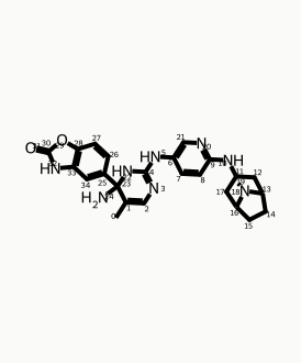 CC1=CN=C(Nc2ccc(NC3CC4CCC(C3)N4C)nc2)NC1(N)c1ccc2oc(=O)[nH]c2c1